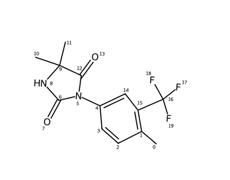 Cc1ccc(N2C(=O)NC(C)(C)C2=O)cc1C(F)(F)F